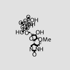 CO[C@H]1C(O)[C@@H](COP(=O)(O)OP(=O)(O)OP(=O)(O)O)O[C@H]1c1cnc(=O)[nH]c1F